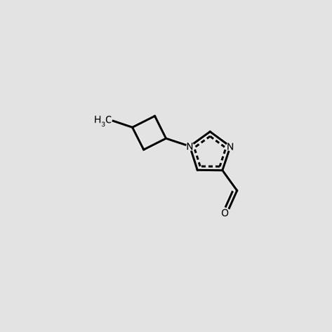 CC1CC(n2cnc(C=O)c2)C1